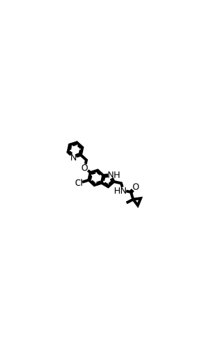 CC1(C(=O)NCc2cc3cc(Cl)c(OCc4ccccn4)cc3[nH]2)CC1